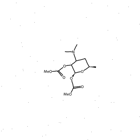 COC(=O)OC1C(N(C)C)C[C@@H](C)O[C@H]1OC(=O)OC